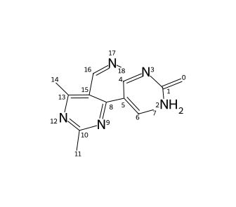 C=C(N)/N=C\C(=C/C)c1nc(C)nc(C)c1/C=N\C